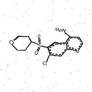 CNc1ccnc2cc(Cl)c(S(=O)(=O)C3CCOCC3)cc12